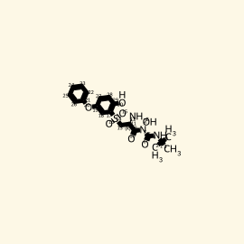 CC(C)(C)NC(=O)N(O)C(=O)[C@@H](N)CS(=O)(=O)c1cc(Oc2ccccc2)ccc1O